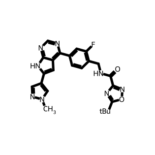 Cn1cc(-c2cc3c(-c4ccc(CNC(=O)c5noc(C(C)(C)C)n5)c(F)c4)ncnc3[nH]2)cn1